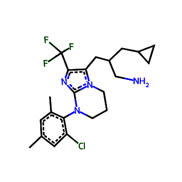 Cc1cc(C)c(N2CCCn3c2nc(C(F)(F)F)c3CC(CN)CC2CC2)c(Cl)c1